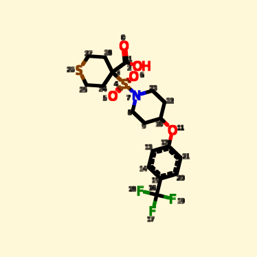 O=C(O)C1(S(=O)(=O)N2CCC(Oc3ccc(C(F)(F)F)cc3)CC2)CCSCC1